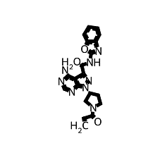 C=CC(=O)N1CC[C@@H](n2nc(C(=O)Nc3nc4ccccc4o3)c3c(N)ncnc32)C1